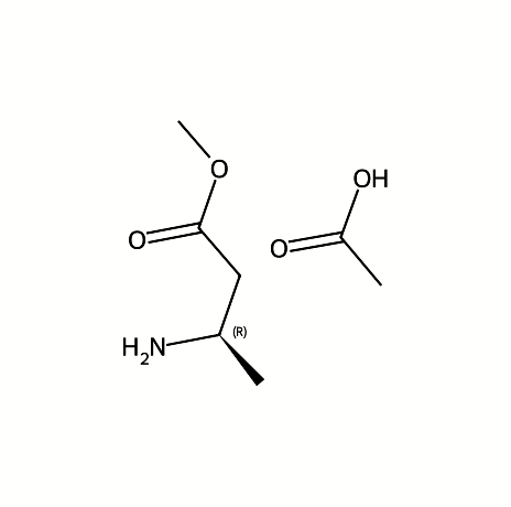 CC(=O)O.COC(=O)C[C@@H](C)N